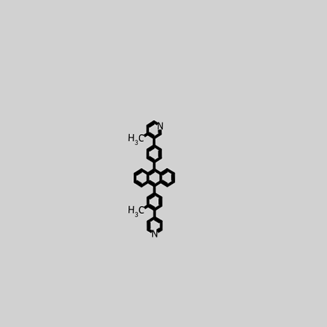 Cc1cc(-c2c3ccccc3c(-c3ccc(-c4cnccc4C)cc3)c3ccccc23)ccc1-c1ccncc1